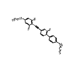 CCCCCc1cc(F)c(C#Cc2ccc(-c3ccc(N=C=S)cc3)c(F)c2)c(F)c1